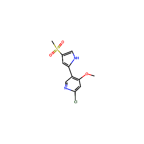 COc1cc(Cl)ncc1-c1cc(S(C)(=O)=O)c[nH]1